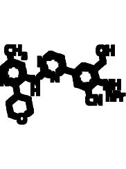 CCCNc1c(C#N)cc(-c2ccnc(Nc3cc(C)cnc3C3CCOCC3)n2)cc1CO